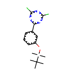 CC(C)(C)[Si](C)(C)Oc1cccc(-c2nc(Cl)nc(Cl)n2)c1